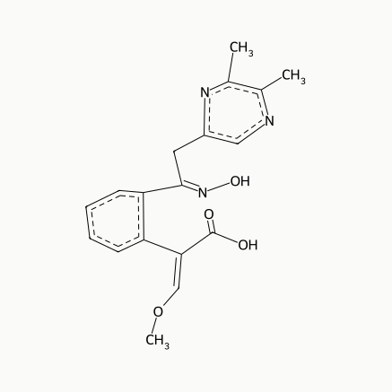 CO/C=C(/C(=O)O)c1ccccc1C(Cc1cnc(C)c(C)n1)=NO